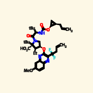 C=CC[C@@H]1C[C@H]1OC(=O)NC(C(=O)N1C[C@H](Oc2nc3cc(OC)ccc3nc2C(F)(F)CC=C)[C@@H](CC)[C@@]1(C(=O)O)C(C)(C)C)C(C)(C)C